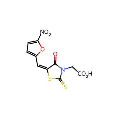 O=C(O)CN1C(=O)/C(=C\c2ccc([N+](=O)[O-])o2)SC1=S